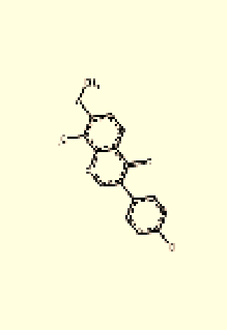 COc1ccc2c(=O)c(-c3ccc(Cl)cc3)coc2c1C